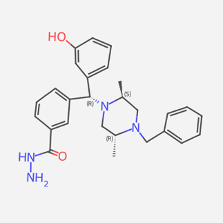 C[C@@H]1CN([C@@H](c2cccc(O)c2)c2cccc(C(=O)NN)c2)[C@@H](C)CN1Cc1ccccc1